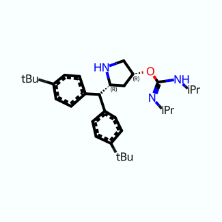 CC(C)N=C(NC(C)C)O[C@H]1CN[C@@H](C(c2ccc(C(C)(C)C)cc2)c2ccc(C(C)(C)C)cc2)C1